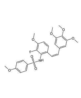 COc1ccc(S(=O)(=O)Nc2c(/C=C\c3cc(OC)c(OC)c(OC)c3)ccc(OC)c2F)cc1